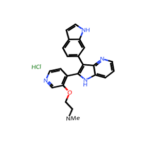 CNCCOc1cnccc1-c1[nH]c2cccnc2c1-c1ccc2cc[nH]c2c1.Cl